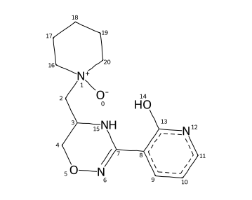 [O-][N+]1(CC2CON=C(c3cccnc3O)N2)CCCCC1